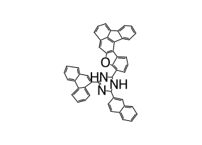 c1ccc2c(c1)-c1cccc3cc4oc5c(C6NC(c7cc8ccccc8c8ccccc78)=NC(c7ccc8ccccc8c7)N6)cccc5c4c-2c13